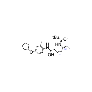 C/C=C(\C=C/CC(O)Nc1ccc(OC2CCCC2)cc1C)N[S+]([O-])C(C)(C)C